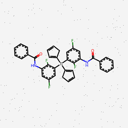 O=C(Nc1cc(F)c[c]([Ti]([C]2=CC=CC2)([C]2=CC=CC2)[c]2cc(F)cc(NC(=O)c3ccccc3)c2F)c1F)c1ccccc1